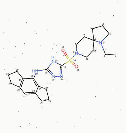 CCN1CCCC12CCN(S(=O)(=O)c1nnc(Nc3c4c(cc5c3CCC5)CCC4)[nH]1)CC2